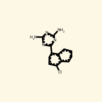 Nc1nc(N)nc(-c2ccc(Cl)c3ccccc23)n1